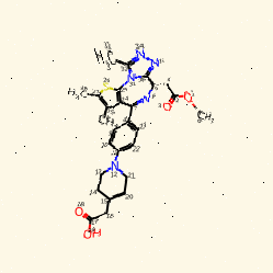 COC(=O)C[C@@H]1N=C(c2ccc(N3CCC(CC(=O)O)CC3)cc2)c2c(sc(C)c2C)-n2c(C)nnc21